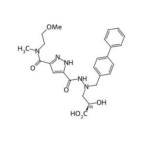 COCCN(C)C(=O)c1cc(C(=O)NN(Cc2ccc(-c3ccccc3)cc2)C[C@@H](O)C(=O)O)[nH]n1